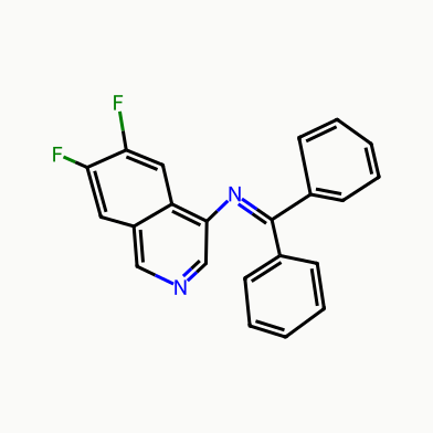 Fc1cc2cncc(N=C(c3ccccc3)c3ccccc3)c2cc1F